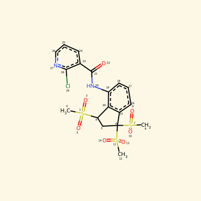 CS(=O)(=O)C1CC(S(C)(=O)=O)(S(C)(=O)=O)c2cccc(NC(=O)c3cccnc3Cl)c21